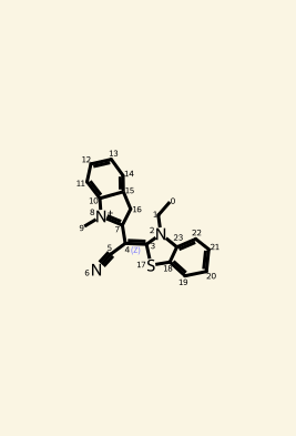 CCN1/C(=C(/C#N)C2=[N+](C)c3ccccc3C2)Sc2ccccc21